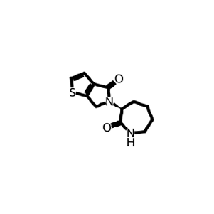 O=C1NCCCC[C@@H]1N1Cc2sccc2C1=O